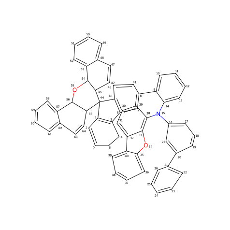 C1=CC2=C(CC1)c1cc(-c3ccccc3N(c3cccc(-c4ccccc4)c3)c3cccc4c3oc3ccccc34)ccc1C21C2C=Cc3ccccc3C2OC2c3ccccc3C=CC21